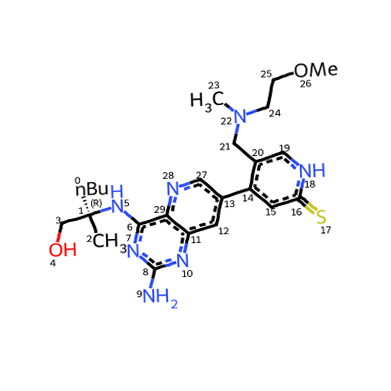 CCCC[C@](C)(CO)Nc1nc(N)nc2cc(-c3cc(=S)[nH]cc3CN(C)CCOC)cnc12